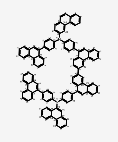 c1ccc2c(c1)ccc1ccc(N(c3ccc(-c4cc5ccccc5c5ccccc45)cc3)c3ccc(-c4cc5ccccc5c5cc(-c6ccc7c(-c8ccc(N(c9ccc(-c%10cc%11ccccc%11c%11ccccc%10%11)cc9)c9cc%10ccccc%10c%10ccccc9%10)cc8)cc8ccccc8c7c6)ccc45)cc3)cc12